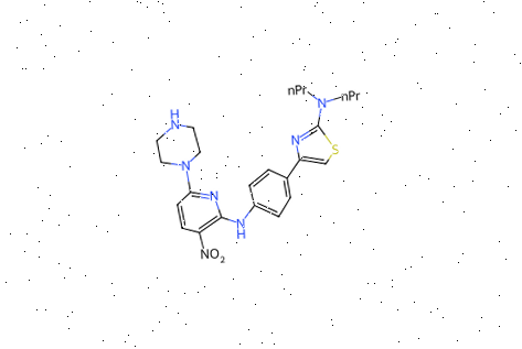 CCCN(CCC)c1nc(-c2ccc(Nc3nc(N4CCNCC4)ccc3[N+](=O)[O-])cc2)cs1